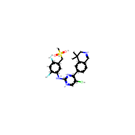 CC1(C)CN=Cc2ccc(-c3nc(Nc4cc(CS(C)(=O)=O)c(F)cc4F)ncc3Cl)cc21